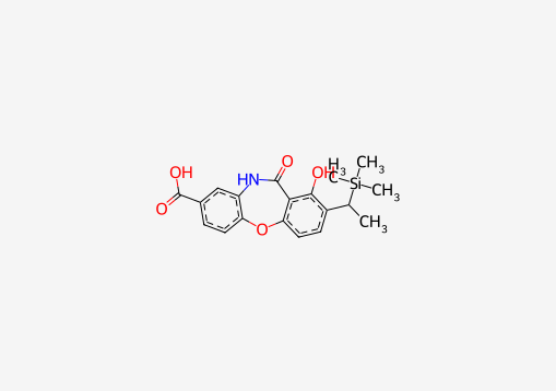 CC(c1ccc2c(c1O)C(=O)Nc1cc(C(=O)O)ccc1O2)[Si](C)(C)C